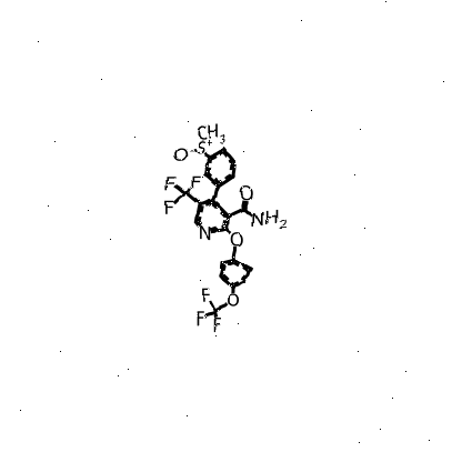 C[S+]([O-])c1cccc(-c2c(C(F)(F)F)cnc(Oc3ccc(OC(F)(F)F)cc3)c2C(N)=O)c1